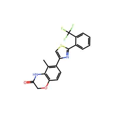 Cc1c(-c2csc(-c3ccccc3C(F)(F)F)n2)ccc2c1NC(=O)CO2